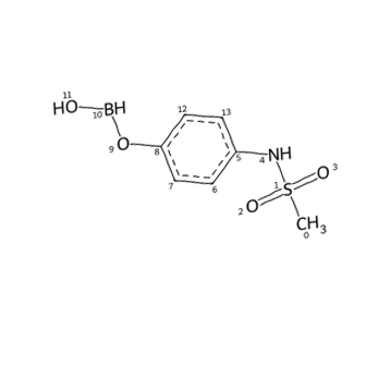 CS(=O)(=O)Nc1ccc(OBO)cc1